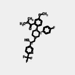 COc1ccc(N2CCN(C[C@@H](O)c3ccc(C(F)(F)F)nc3)C[C@H]2c2ccc(F)cc2)c(C(=O)N(C)C)c1